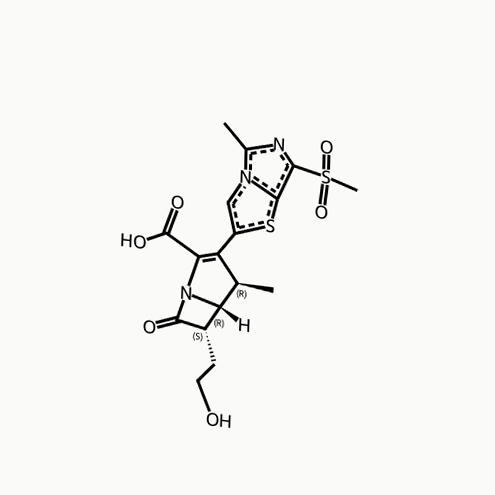 Cc1nc(S(C)(=O)=O)c2sc(C3=C(C(=O)O)N4C(=O)[C@@H](CCO)[C@H]4[C@@H]3C)cn12